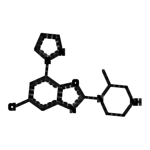 CC1CNCCN1c1nc2cc(Cl)cc(-n3cccn3)c2o1